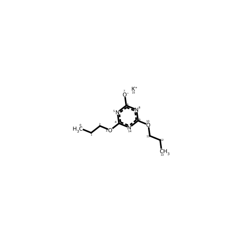 CCCOc1nc([O-])nc(OCCC)n1.[K+]